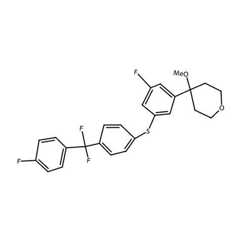 COC1(c2cc(F)cc(Sc3ccc(C(F)(F)c4ccc(F)cc4)cc3)c2)CCOCC1